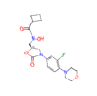 O=C(C1CCC1)N(O)C[C@H]1CN(c2ccc(N3CCOCC3)c(F)c2)C(=O)O1